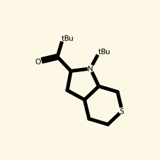 CC(C)(C)C(=O)C1CC2CCSCC2N1C(C)(C)C